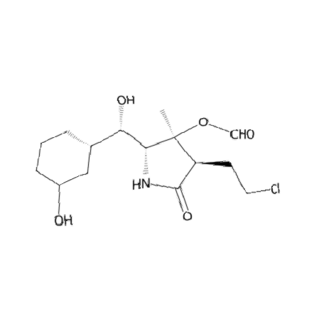 C[C@@]1(OC=O)[C@@H]([C@@H](O)[C@H]2CCCC(O)C2)NC(=O)[C@@H]1CCCl